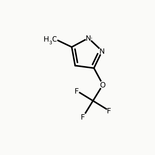 CC1=CC(OC(F)(F)F)=N[N]1